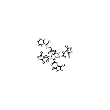 O=C(CCC(=O)c1ccccc1)NC(CCC(=O)ON1C(=O)CCC1=O)(CCC(=O)ON1C(=O)CCC1=O)CCC(=O)ON1C(=O)CCC1=O